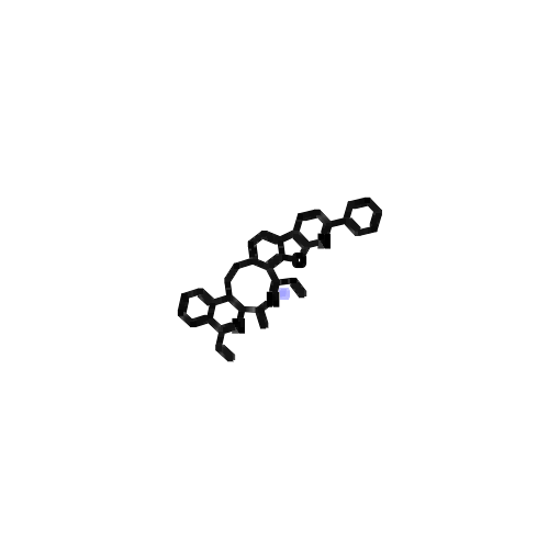 C=CC1=NC2C(=C)/N=C(/C=C)c3c(ccc4c3oc3nc(-c5ccccc5)ccc34)CCC2c2ccccc21